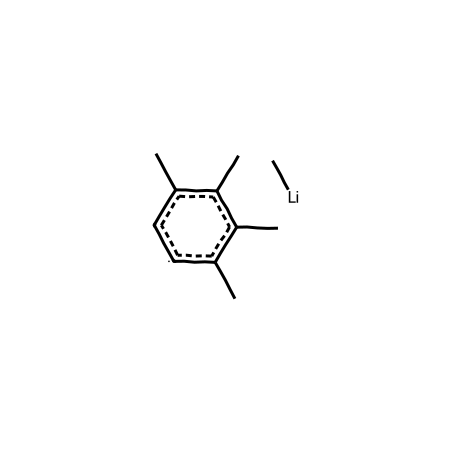 Cc1[c]cc(C)c(C)c1C.[Li][CH3]